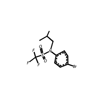 CC(C)CN(c1ccc(Br)cc1)S(=O)(=O)C(F)(F)F